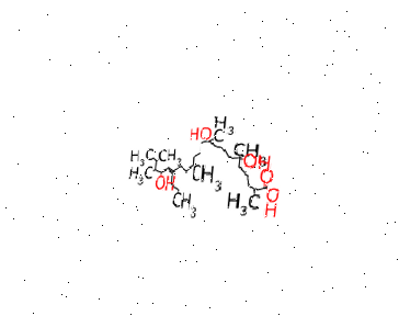 CCC/C(=C\C(O)C(C)C(C)C)CCC(C)CCCC(C)(O)CCCC(C)(O)CCCC(C)C(=O)O